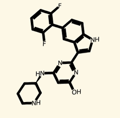 Oc1cc(N[C@@H]2CCCNC2)nc(-c2c[nH]c3ccc(-c4c(F)cccc4F)cc23)n1